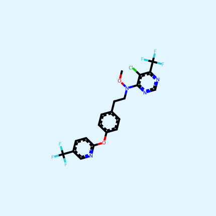 CON(CCc1ccc(Oc2ccc(C(F)(F)F)cn2)cc1)c1ncnc(C(F)(F)F)c1Cl